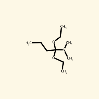 CCCC(OCC)(OCC)N(C)C